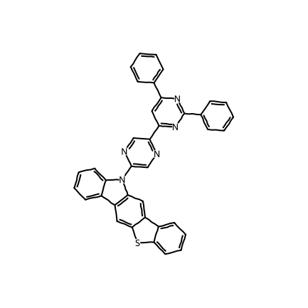 c1ccc(-c2cc(-c3cnc(-n4c5ccccc5c5cc6sc7ccccc7c6cc54)cn3)nc(-c3ccccc3)n2)cc1